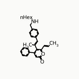 C/C=C/c1oc(=O)cc(-c2ccccc2)c1/C(C)=C/c1ccc(CNCCCCCC)cc1